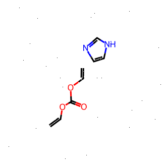 C=COC(=O)OC=C.c1c[nH]cn1